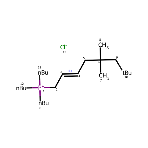 CCCC[P+](C/C=C/CC(C)(C)CC(C)(C)C)(CCCC)CCCC.[Cl-]